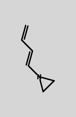 C=CC=CN1CC1